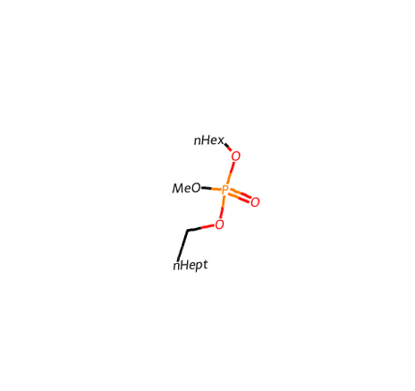 CCCCCCCCOP(=O)(OC)OCCCCCC